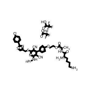 CCCNc1nc(SCc2csc(-c3ccc(Cl)cc3)n2)c(C#N)c(-c2ccc(OCCOC(=O)[C@H](C)NC(=O)[C@@H](N)CCCCN)cc2)c1C#N.O=C(O)C(F)(F)F.O=C(O)C(F)(F)F